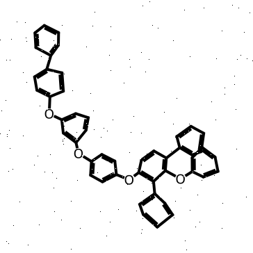 c1ccc(Oc2c(-c3ccccc3)ccc(Oc3ccc(Oc4cccc(Oc5ccc(-c6ccccc6)cc5)c4)cc3)c2-c2ccccc2)cc1